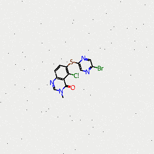 Cn1cnc2ccc(Sc3cnc(Br)cn3)c(Cl)c2c1=O